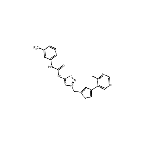 Cc1ncncc1-c1csc(C[n+]2cc([N-]C(=O)Nc3cccc(C(F)(F)F)c3)on2)c1